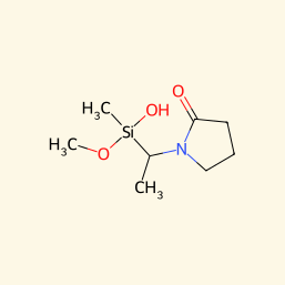 CO[Si](C)(O)C(C)N1CCCC1=O